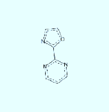 c1cnc(-c2ncco2)nc1